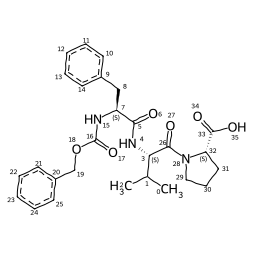 CC(C)[C@H](NC(=O)[C@H](Cc1ccccc1)NC(=O)OCc1ccccc1)C(=O)N1CCC[C@H]1C(=O)O